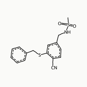 CS(=O)(=O)NCc1ccc(C#N)c(SCc2ccccc2)c1